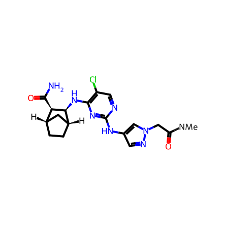 CNC(=O)Cn1cc(Nc2ncc(Cl)c(N[C@H]3[C@@H]4CC[C@@H](C4)[C@H]3C(N)=O)n2)cn1